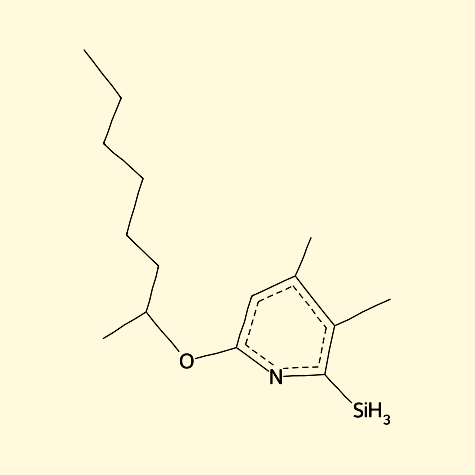 CCCCCCC(C)Oc1cc(C)c(C)c([SiH3])n1